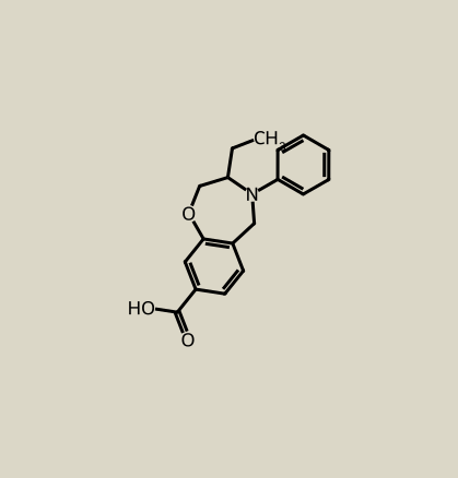 CCC1COc2cc(C(=O)O)ccc2CN1c1ccccc1